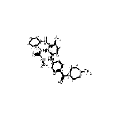 CN1CCN(C(=O)c2ccc(Nc3ncc(C(F)(F)F)c(N[C@@H]4CCCC[C@@H]4NC(=O)NC(C)(C)C)n3)cc2)CC1